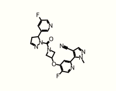 Cn1ncc(C#N)c1-c1cc(OC2CN(C(=O)N3N=CCC3c3cncc(F)c3)C2)c(F)cn1